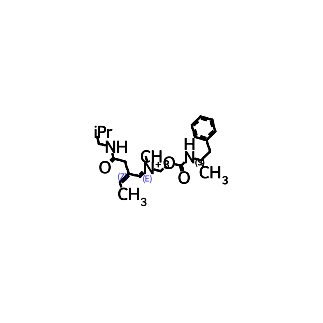 C/C=C(\C=[N+](/C)COC(=O)N[C@@H](C)Cc1ccccc1)CC(=O)NCC(C)C